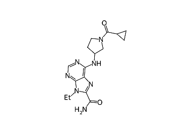 CCn1c(C(N)=O)nc2c(NC3CCN(C(=O)C4CC4)C3)ncnc21